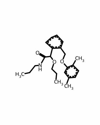 CCCNC(=O)C(OCCC)c1ccccc1COc1cc(C)ccc1C